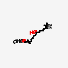 CCC(C)(C)CCCCCC(O)CCCCCC(C)(C)COC=O